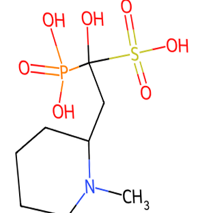 CN1CCCCC1CC(O)(P(=O)(O)O)S(=O)(=O)O